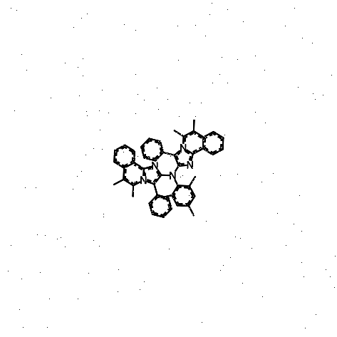 Cc1cc(C)c(N(c2nc3c4ccccc4c(C)c(C)n3c2-c2ccccc2)c2nc3c4ccccc4c(C)c(C)n3c2-c2ccccc2)c(C)c1